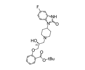 CC(C)(C)OC(=O)c1ccccc1OC[C@@H](O)CN1CCC(n2c(=O)[nH]c3cc(F)ccc32)CC1